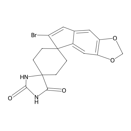 O=C1NC(=O)C2(CCC3(CC2)C(Br)=Cc2cc4c(cc23)OCO4)N1